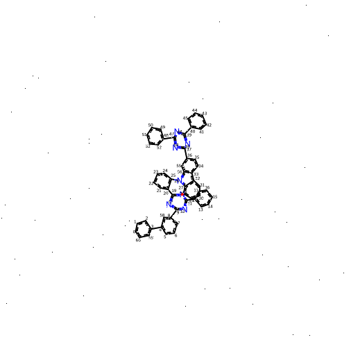 c1ccc(-c2cccc(-c3nc(-c4ccccc4)nc(-c4ccccc4-n4c5ccccc5c5ccc(-c6nc(-c7ccccc7)nc(-c7ccccc7)n6)cc54)n3)c2)cc1